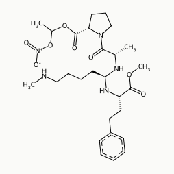 CNCCCC[C@@H](N[C@@H](C)C(=O)N1CCC[C@H]1C(=O)OC(C)O[N+](=O)[O-])N[C@@H](CCc1ccccc1)C(=O)OC